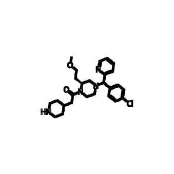 COCC[C@H]1CN(C(c2ccc(Cl)cc2)c2ccccn2)CCN1C(=O)CC1CCNCC1